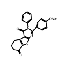 COc1ccc(-c2nc3sc4c(c3c(=O)n2-c2ccccc2)CCCC4=O)cc1